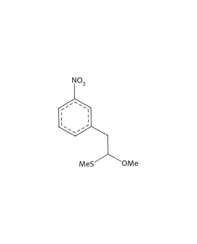 COC(Cc1cccc([N+](=O)[O-])c1)SC